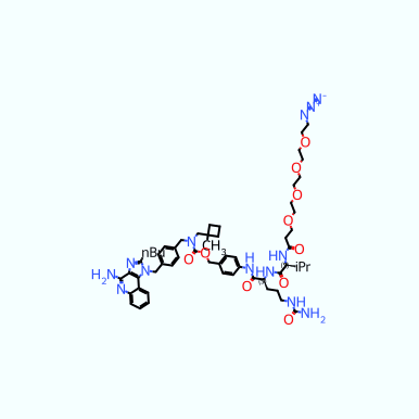 CCCCc1nc2c(N)nc3ccccc3c2n1Cc1ccc(CN(CC2(C)CCC2)C(=O)OCc2ccc(NC(=O)[C@H](CCCNC(N)=O)NC(=O)[C@@H](NC(=O)CCOCCOCCOCCOCCN=[N+]=[N-])C(C)C)cc2)cc1